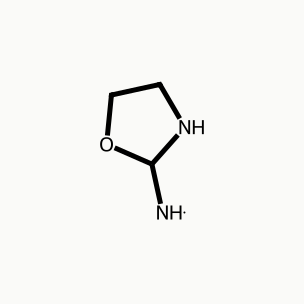 [NH]C1NCCO1